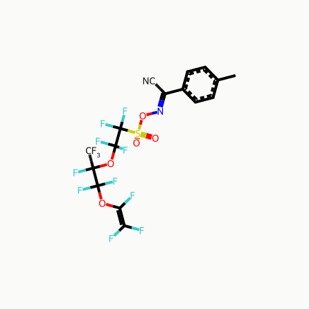 Cc1ccc(C(C#N)=NOS(=O)(=O)C(F)(F)C(F)(F)OC(F)(C(F)(F)F)C(F)(F)OC(F)=C(F)F)cc1